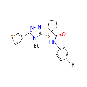 CCn1c(SC2(C(=O)Nc3ccc(C(C)C)cc3)CCCC2)nnc1-c1ccsc1